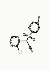 N#CC(c1nccnc1Cl)S(=O)(=O)c1ccc(F)cc1